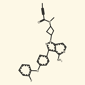 CC#CC(=O)N(C)C1CC(n2nc(-c3ccc(Oc4ccccc4F)cc3)c3c(N)nccc32)C1